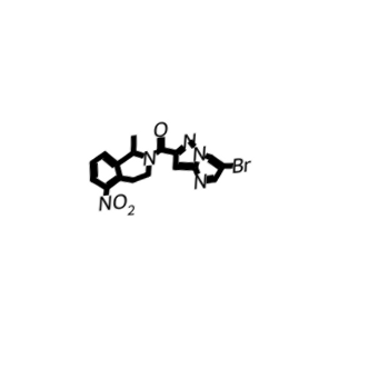 CC1c2cccc([N+](=O)[O-])c2CCN1C(=O)c1cc2ncc(Br)cn2n1